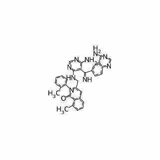 Cc1ccccc1-n1c(CNc2ncnc(N)c2C(=N)c2ccc3ncnc(N)c3c2)cc2cccc(C)c2c1=O